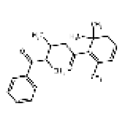 CC1=C(C(=O)CC(C)C(C)C(=O)c2ccccc2)C(C)(C)CC=C1